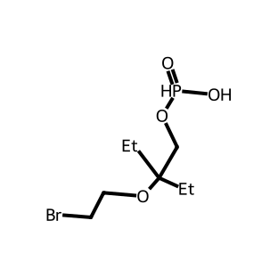 CCC(CC)(CO[PH](=O)O)OCCBr